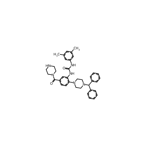 Cc1cc(C)cc(NC(=O)Nc2cc(C(=O)N3CCNCC3)ccc2N2CCN(C(c3ccccc3)c3ccccc3)CC2)c1